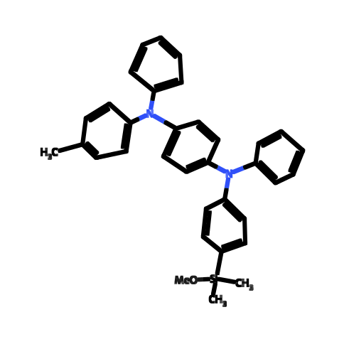 CO[Si](C)(C)c1ccc(N(c2ccccc2)c2ccc(N(c3ccccc3)c3ccc(C)cc3)cc2)cc1